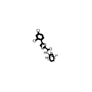 O=C(N[C@@H]1C[C@H]2CC[C@@H]1N2)c1ncc(-c2ccc(Cl)cc2Cl)s1